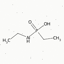 C[CH2][AlH][P](=O)(O)CC